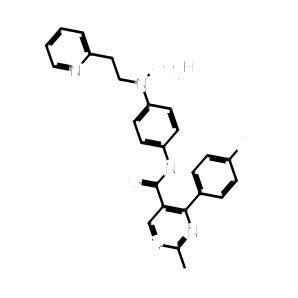 Cc1ncc(C(=O)Nc2ccc(N(CCc3ccccn3)C(=O)O)cc2)c(-c2ccc(Cl)cc2)n1